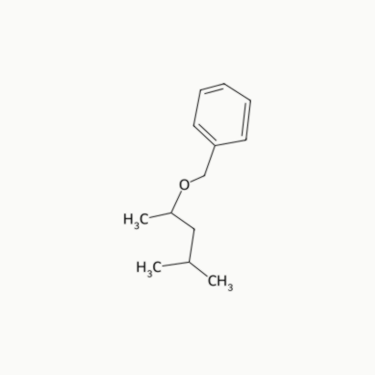 CC(C)CC(C)OCc1ccccc1